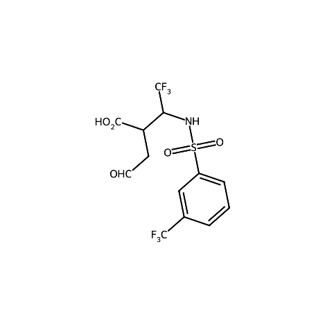 O=CCC(C(=O)O)C(NS(=O)(=O)c1cccc(C(F)(F)F)c1)C(F)(F)F